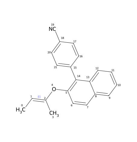 C/C=C(\C)Oc1ccc2ccccc2c1-c1ccc(C#N)cc1